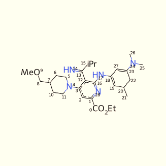 CCOC(=O)c1cc(N2CCC(COC)CC2)c(C(=N)C(C)C)c(NC2=CC(C)CC(N(C)C)=C2)n1